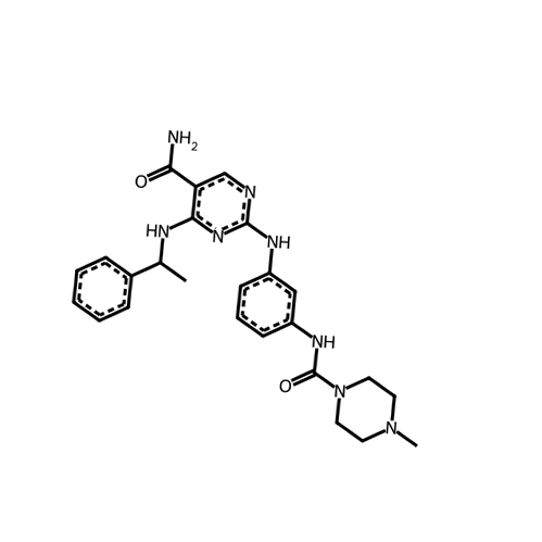 CC(Nc1nc(Nc2cccc(NC(=O)N3CCN(C)CC3)c2)ncc1C(N)=O)c1ccccc1